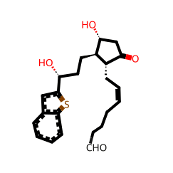 O=CCCC/C=C\C[C@H]1C(=O)C[C@@H](O)[C@@H]1CC[C@@H](O)c1cc2ccccc2s1